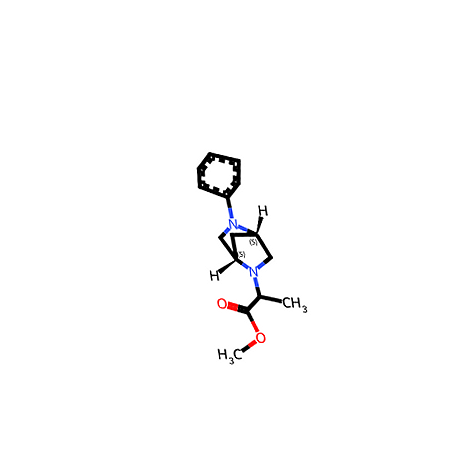 COC(=O)C(C)N1C[C@@H]2C[C@H]1CN2c1ccccc1